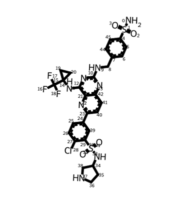 NS(=O)(=O)c1ccc(CNc2nc(NC3(C(F)(F)F)CC3)c3nc(-c4ccc(Cl)c(S(=O)(=O)NC5CCNC5)c4)ccc3n2)cc1